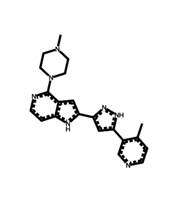 Cc1ccncc1-c1cc(-c2cc3c(N4CCN(C)CC4)nccc3[nH]2)n[nH]1